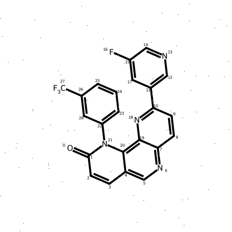 O=c1ccc2cnc3ccc(-c4cncc(F)c4)nc3c2n1-c1cccc(C(F)(F)F)c1